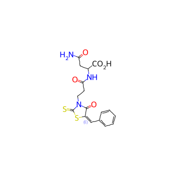 NC(=O)CC(NC(=O)CCN1C(=O)/C(=C\c2ccccc2)SC1=S)C(=O)O